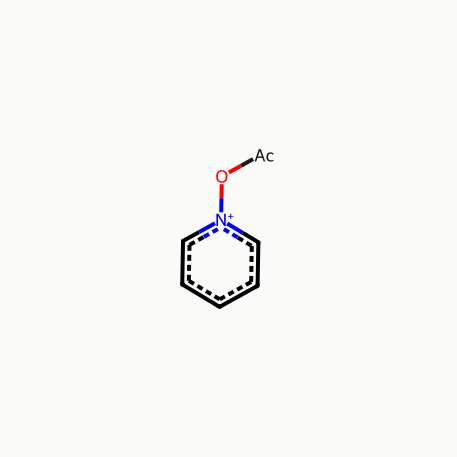 CC(=O)O[n+]1ccccc1